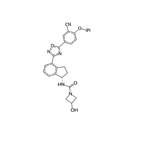 CC(C)Oc1ccc(-c2nc(-c3cccc4c3CC[C@@H]4NC(=O)N3CC(O)C3)no2)cc1C#N